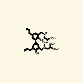 C=CCc1cc(CN(C)CC(OC)OC)c(O)c(-c2cc(CC=C)c(O)c(CN(C)CC(OC)OC)c2)c1